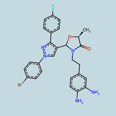 C[C@@H]1OC(c2cn(-c3ccc(Br)cc3)nc2-c2ccc(F)cc2)N(CCc2ccc(N)c(N)c2)C1=O